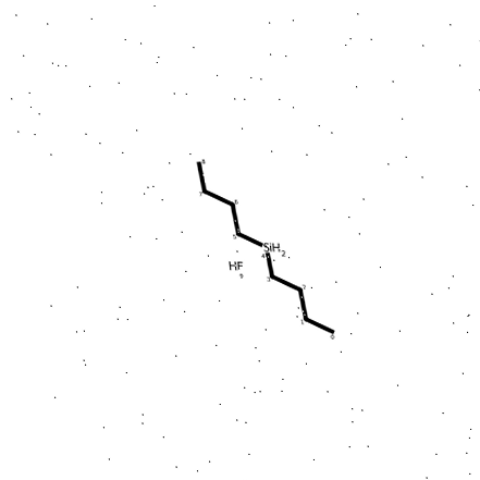 CCCC[SiH2]CCCC.F